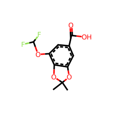 CC1(C)Oc2cc(C(=O)O)cc(OC(F)F)c2O1